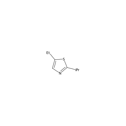 [CH2]Cc1cnc(C(C)C)s1